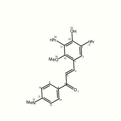 CCCc1cc(C=CC(=O)c2ccc(NC)cc2)c(OC)c(CCC)c1O